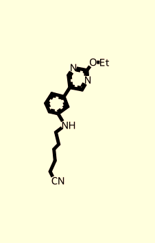 CCOc1ncc(-c2cccc(NCCCCCC#N)c2)cn1